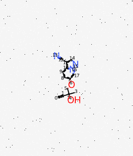 C#CC(C)(O)COc1ccc2c(C#N)cnn2c1